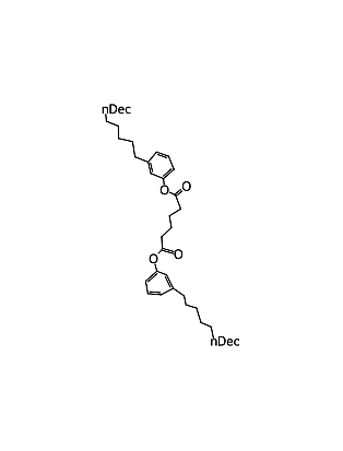 CCCCCCCCCCCCCCCc1cccc(OC(=O)CCCCC(=O)Oc2cccc(CCCCCCCCCCCCCCC)c2)c1